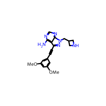 COc1cc(C#Cc2nn(CC3CNC3)c3ncnc(N)c23)cc(OC)c1